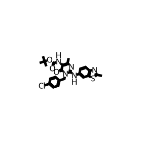 Cc1nc2ccc(Nc3nc(C)c(NC(=O)OC(C)(C)C)c(=O)n3Cc3ccc(Cl)cc3)cc2s1